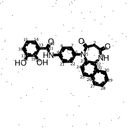 O=C1CC(=O)N(c2ccc(NC(=O)c3cccc(O)c3O)cc2)c2ccc3ccccc3c2N1